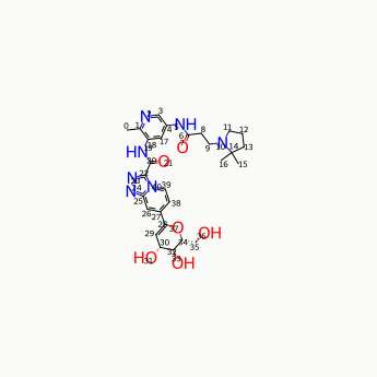 Cc1ncc(NC(=O)CCN2CCCC2(C)C)cc1NC(=O)c1nnc2cc(C3=C[C@@H](O)[C@H](O)[C@@H](CO)O3)ccn12